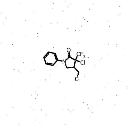 O=C1N(c2ccccc2)CC(CCl)C1(Cl)C(F)(F)F